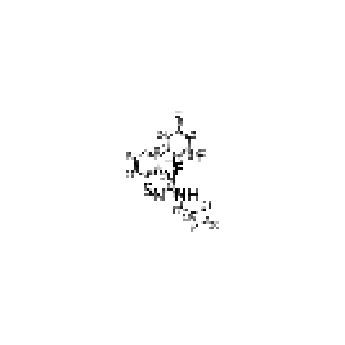 Fc1cc(F)c(F)c(-c2cccc3c2NC(NCC2CCC2)=NS3)c1